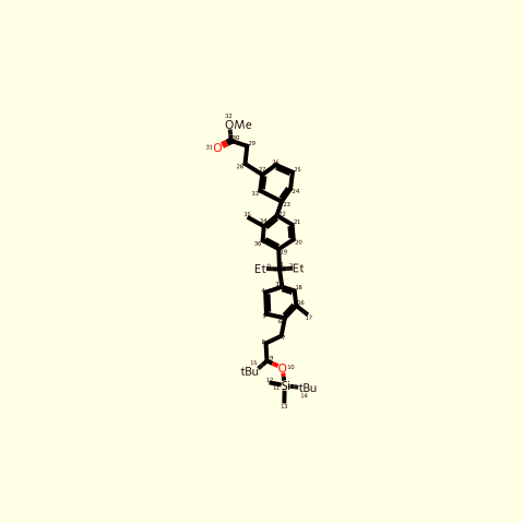 CCC(CC)(c1ccc(CCC(O[Si](C)(C)C(C)(C)C)C(C)(C)C)c(C)c1)c1ccc(-c2cccc(CCC(=O)OC)c2)c(C)c1